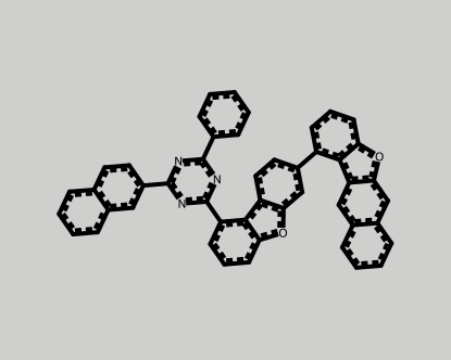 c1ccc(-c2nc(-c3ccc4ccccc4c3)nc(-c3cccc4oc5cc(-c6cccc7oc8cc9ccccc9cc8c67)ccc5c34)n2)cc1